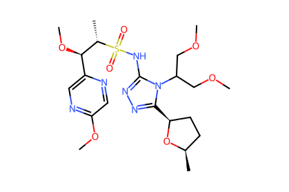 COCC(COC)n1c(NS(=O)(=O)[C@@H](C)[C@H](OC)c2cnc(OC)cn2)nnc1[C@H]1CC[C@@H](C)O1